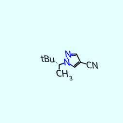 C[C@@H](n1cc(C#N)cn1)C(C)(C)C